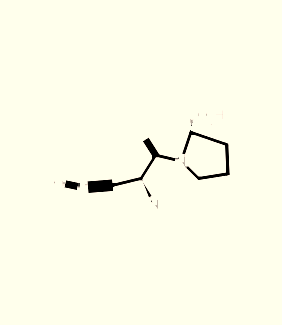 N[C@@H](C#P=O)C(=O)N1CCC[C@H]1C(=O)O